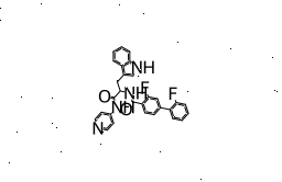 O=C(NC(Cc1c[nH]c2ccccc12)C(=O)Nc1ccncc1)c1ccc(-c2ccccc2F)cc1F